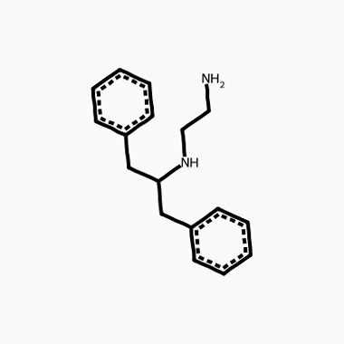 NCCNC(Cc1ccccc1)Cc1ccccc1